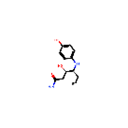 CC(C)C[C@H](Nc1ccc(O)cc1)[C@@H](O)CC(N)=O